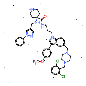 O=C(NCCCn1cc(-c2ccc(OC(F)(F)F)cc2)c2cc(CN3CCN(Cc4c(Cl)cccc4Cl)CC3)ccc21)C1(NCc2cnn(-c3ccccc3)c2)CCNCC1